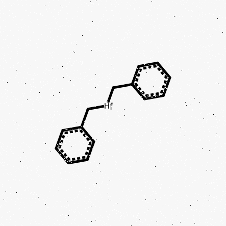 c1ccc([CH2][Hf][CH2]c2ccccc2)cc1